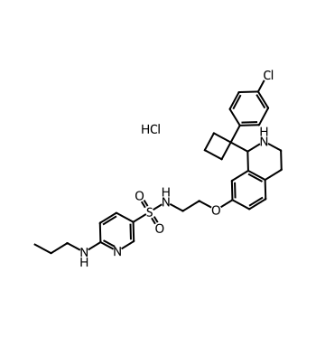 CCCNc1ccc(S(=O)(=O)NCCOc2ccc3c(c2)C(C2(c4ccc(Cl)cc4)CCC2)NCC3)cn1.Cl